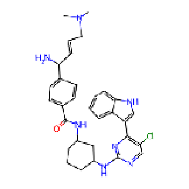 CN(C)C/C=C/C(N)c1ccc(C(=O)NC2CCCC(Nc3ncc(Cl)c(-c4c[nH]c5ccccc45)n3)C2)cc1